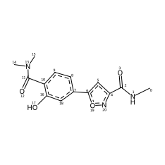 CNC(=O)c1cc(-c2ccc(C(=O)N(C)C)c(O)c2)on1